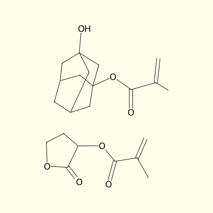 C=C(C)C(=O)OC12CC3CC(CC(O)(C3)C1)C2.C=C(C)C(=O)OC1CCOC1=O